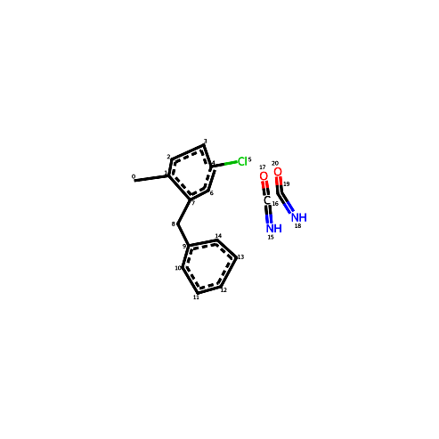 Cc1ccc(Cl)cc1Cc1ccccc1.N=C=O.N=C=O